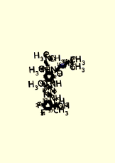 COc1cc(N(C)CCN(C)C)c(NC(=O)/C=C/CN(C)C)cc1Nc1ncnc(Nc2cc(F)c(F)cc2C(C)(C)O)n1